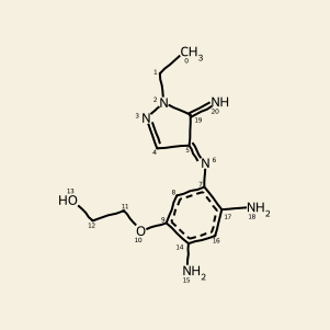 CCN1N=CC(=Nc2cc(OCCO)c(N)cc2N)C1=N